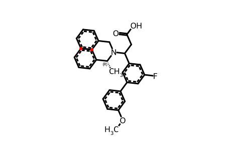 COc1cccc(-c2cc(F)cc(C(CC(=O)O)N(Cc3ccccc3)[C@H](C)c3ccccc3)c2)c1